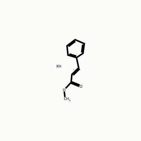 COC(=O)/C=C/c1ccccc1.[KH]